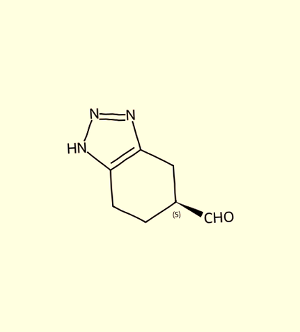 O=C[C@H]1CCc2[nH]nnc2C1